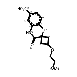 COCCOC1CC2(C1)Oc1ccc(C(=O)O)cc1NC2=O